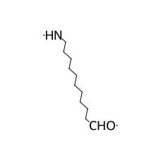 [NH]CCCCCCCCCC[C]=O